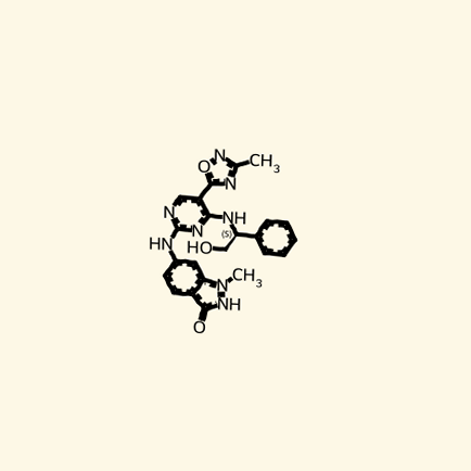 Cc1noc(-c2cnc(Nc3ccc4c(=O)[nH]n(C)c4c3)nc2N[C@H](CO)c2ccccc2)n1